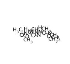 CCc1cccc(CC)c1NC(=O)c1nn(C)c2c1CCc1cnc(Nc3ccc(C(=O)OC(C)(C)C)cc3C)nc1-2